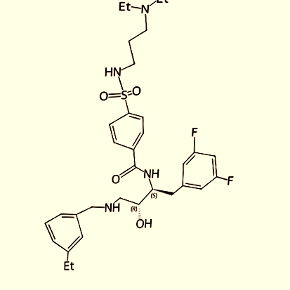 CCc1cccc(CNC[C@@H](O)[C@H](Cc2cc(F)cc(F)c2)NC(=O)c2ccc(S(=O)(=O)NCCCN(CC)CC)cc2)c1